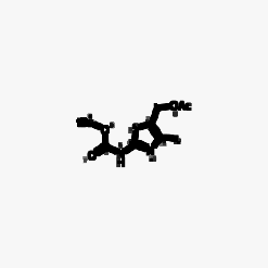 CC(=O)OCc1sc(NC(=O)OC(C)(C)C)nc1C